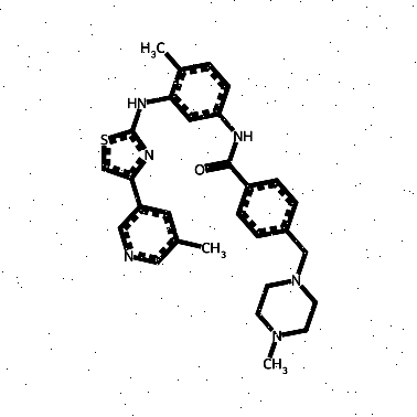 Cc1cncc(-c2csc(Nc3cc(NC(=O)c4ccc(CN5CCN(C)CC5)cc4)ccc3C)n2)c1